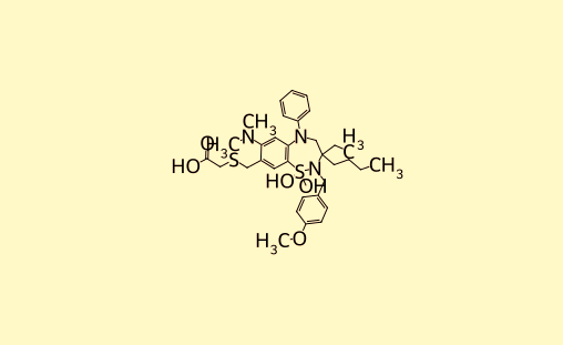 CCCCC1(CC)CN(c2ccccc2)c2cc(N(C)C)c(CSCC(=O)O)cc2S(O)(O)N1Cc1ccc(OC)cc1